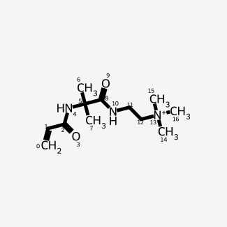 C=CC(=O)NC(C)(C)C(=O)NCC[N+](C)(C)C